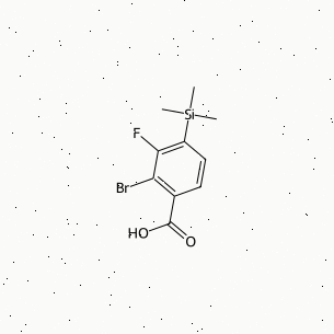 C[Si](C)(C)c1ccc(C(=O)O)c(Br)c1F